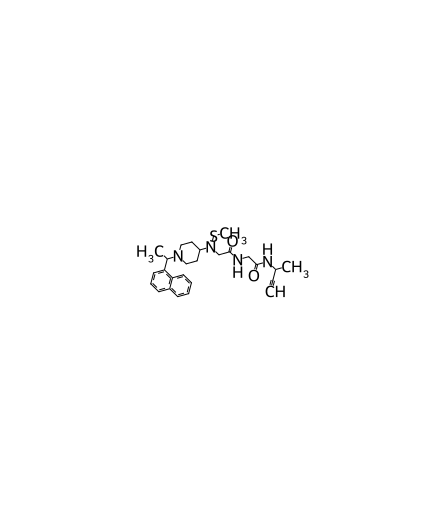 C#CC(C)NC(=O)CNC(=O)CN(SC)C1CCN(C(C)c2cccc3ccccc23)CC1